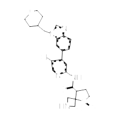 O=C(Nc1cc(-c2ccc3ncn(CC4CCOCC4)c3c2)c(Cl)cn1)C1CCS(=O)(=O)C12CNC2